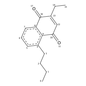 CCCCc1cccc2c1C(=O)C=C(CC)C2=O